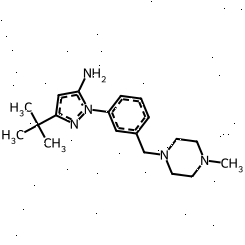 CN1CCN(Cc2cccc(-n3nc(C(C)(C)C)cc3N)c2)CC1